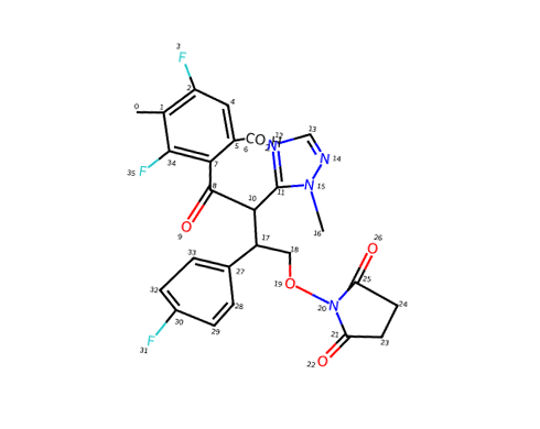 Cc1c(F)cc(C(=O)O)c(C(=O)C(c2ncnn2C)C(CON2C(=O)CCC2=O)c2ccc(F)cc2)c1F